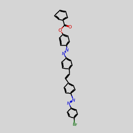 O=C(Oc1ccc(N=Nc2ccc(/C=C/c3ccc(N=Nc4ccc(Br)cc4)cc3)cc2)cc1)c1ccccc1